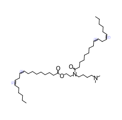 CCCCC/C=C\C/C=C\CCCCCCCC(=O)OCCN(CCCCN(C)C)C(=O)CCCCCCC/C=C\C/C=C\CCCCC